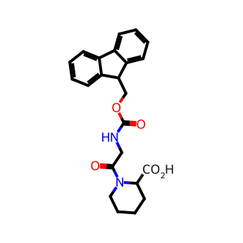 O=C(NCC(=O)N1CCCCC1C(=O)O)OCC1c2ccccc2-c2ccccc21